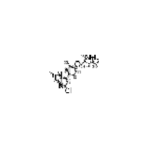 Cc1cn2nc(Cl)cc(-c3ccc(OC[C@@](C)(N)CC(C)C)c(C)n3)c2n1